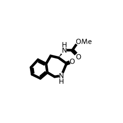 COC(=O)N[C@H]1Cc2ccccc2CNC1=O